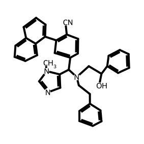 Cn1cncc1C(c1ccc(C#N)c(-c2cccc3ccccc23)c1)N(CCc1ccccc1)CC(O)c1ccccc1